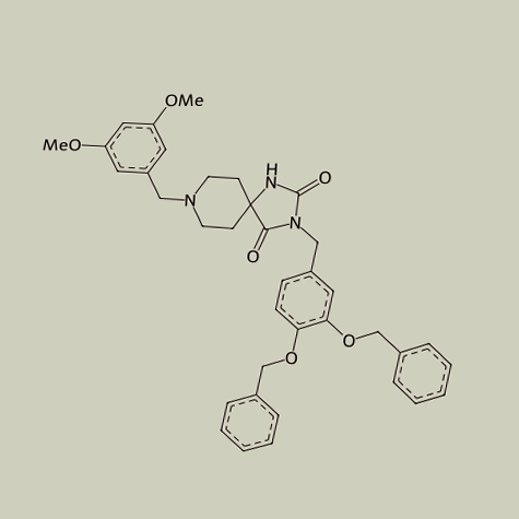 COc1cc(CN2CCC3(CC2)NC(=O)N(Cc2ccc(OCc4ccccc4)c(OCc4ccccc4)c2)C3=O)cc(OC)c1